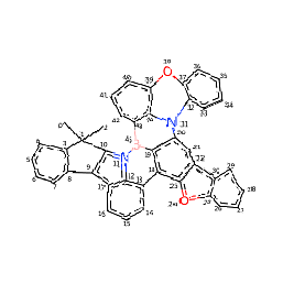 CC1(C)c2ccccc2-c2c1n1c3c(cccc23)-c2c3c(cc4c2oc2ccccc24)N2c4ccccc4Oc4cccc(c42)B31